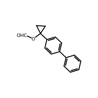 O=COC1(c2ccc(-c3ccccc3)cc2)CC1